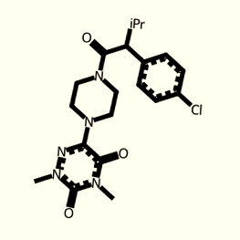 CC(C)C(C(=O)N1CCN(c2nn(C)c(=O)n(C)c2=O)CC1)c1ccc(Cl)cc1